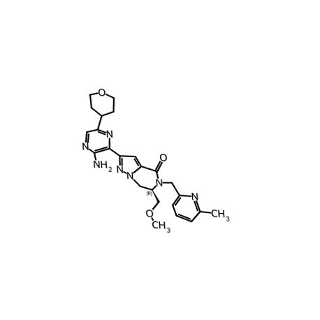 COC[C@H]1Cn2nc(-c3nc(C4CCOCC4)cnc3N)cc2C(=O)N1Cc1cccc(C)n1